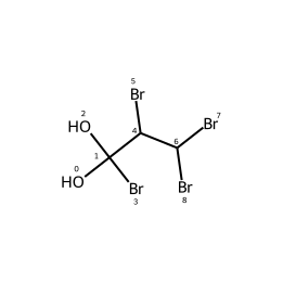 OC(O)(Br)C(Br)C(Br)Br